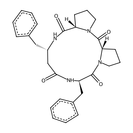 O=C1C[C@H](Cc2ccccc2)NC(=O)[C@@H]2CCCN2C(=O)[C@@H]2CCCN2C(=O)[C@@H](Cc2ccccc2)N1